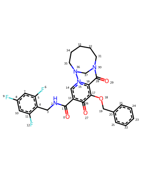 O=C(NCc1c(F)cc(F)cc1F)c1cn2c(c(OCc3ccccc3)c1=O)C(=O)N1CCCCCN2C1